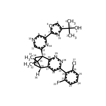 CC(C)(O)c1coc(-c2cncc([C@@]34CC[C@@H](c5cc(-c6c(F)cccc6Cl)nnc53)C4(C)C)n2)n1